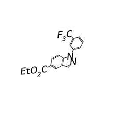 CCOC(=O)c1ccc2c(cnn2-c2cccc(C(F)(F)F)c2)c1